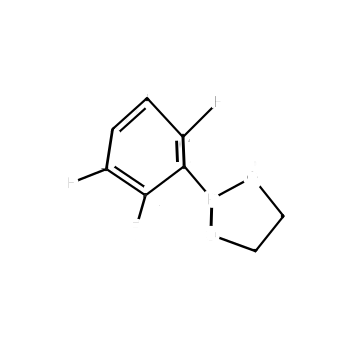 Fc1ccc(F)c(P2OCCO2)c1F